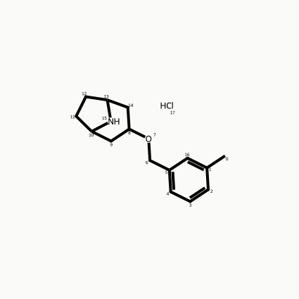 Cc1cccc(COC2CC3CCC(C2)N3)c1.Cl